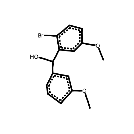 COc1cccc(C(O)c2cc(OC)ccc2Br)c1